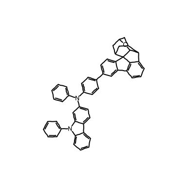 c1ccc(N(c2ccc(-c3ccc4c(c3)-c3cccc5c3C43C4CC6CC(C4)C5C3C6)cc2)c2ccc3c4ccccc4n(-c4ccccc4)c3c2)cc1